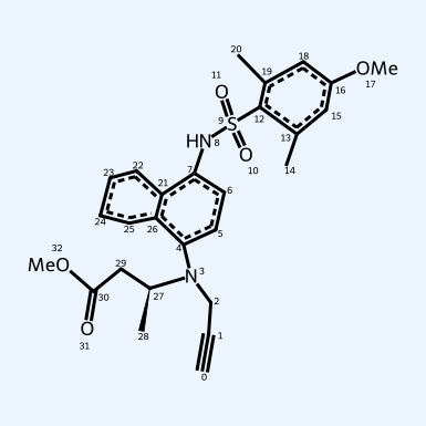 C#CCN(c1ccc(NS(=O)(=O)c2c(C)cc(OC)cc2C)c2ccccc12)[C@@H](C)CC(=O)OC